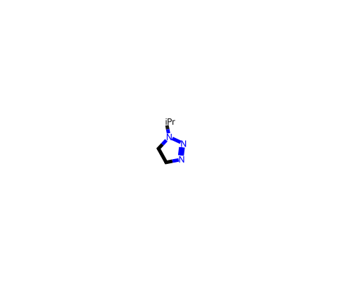 CC(C)N1CCN=N1